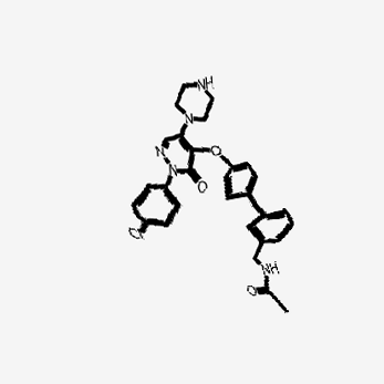 CC(=O)NCc1cccc(-c2ccc(Oc3c(N4CCNCC4)cnn(-c4ccc(Cl)cc4)c3=O)cc2)c1